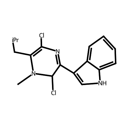 CC(C)CC1=C(Cl)N=C(c2c[nH]c3ccccc23)C(Cl)N1C